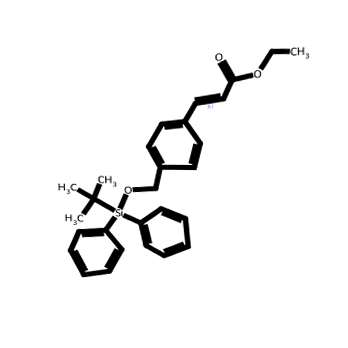 CCOC(=O)/C=C/c1ccc(CO[Si](c2ccccc2)(c2ccccc2)C(C)(C)C)cc1